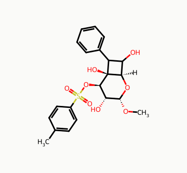 CO[C@H]1O[C@@H]2C(O)C(c3ccccc3)[C@@]2(O)[C@H](OS(=O)(=O)c2ccc(C)cc2)[C@H]1O